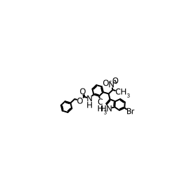 Cc1c(NC(=O)OCc2ccccc2)cccc1C(c1c[nH]c2cc(Br)ccc12)C(C)[N+](=O)[O-]